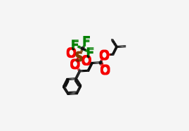 CC(C)COC(=O)CCC(OS(=O)(=O)C(F)(F)F)c1ccccc1